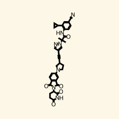 CC(C)(C(=O)Nc1ccc(C#N)cc1C1CC1)n1cc(C#CC2CCN(c3ccc4c(c3)C(=O)N(C3CCC(=O)NC3=O)C4=O)C2)cn1